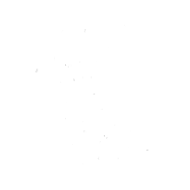 Cc1ccc(N(CC(C)C)S(=O)(=O)c2ccc(C(CO)N3CCC(O)CC3)cc2)c(C)c1